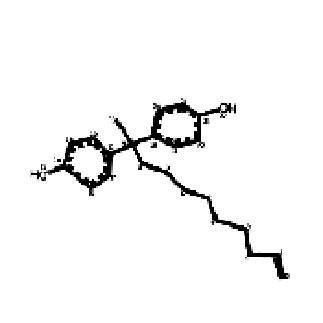 C=CCCCCCCCC(C)(c1ccc(O)cc1)c1ccc(O)cc1